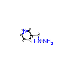 NN[CH]c1cccnc1